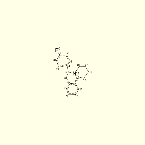 Fc1ccc(C(Cc2ccccc2)N2CCCCC2)cc1